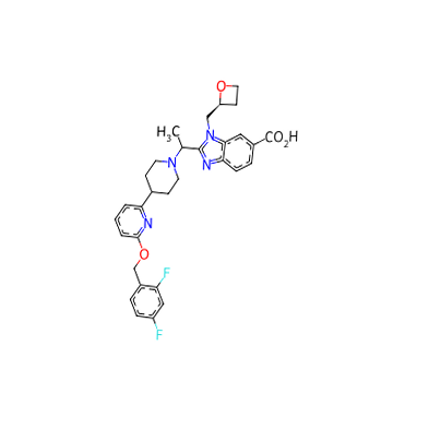 CC(c1nc2ccc(C(=O)O)cc2n1C[C@@H]1CCO1)N1CCC(c2cccc(OCc3ccc(F)cc3F)n2)CC1